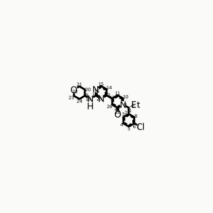 CC[C@H](c1cccc(Cl)c1)n1ccc(-c2ccnc(NC3CCOCC3)n2)cc1=O